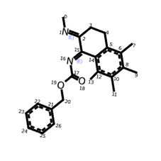 C/N=C1\CCc2c(C)c(C)c(C)c(C)c2\C1=N/C(=O)OCc1ccccc1